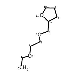 [CH2]COCCOCC1CCCO1